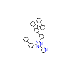 c1ccc(-c2cccc(-c3nc(-c4cccnc4)nc(-c4cccc(-c5ccc6c(c5)C5(c7ccccc7-c7ccccc75)c5ccccc5-6)c4)n3)c2)cc1